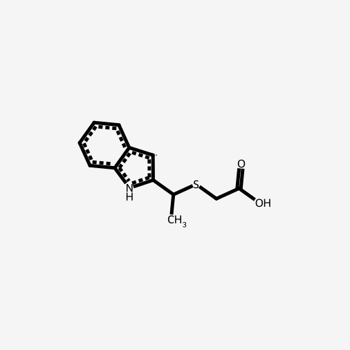 CC(SCC(=O)O)c1[c]c2ccccc2[nH]1